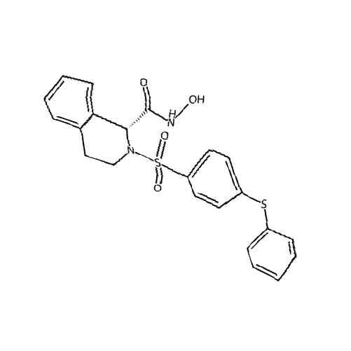 O=C(NO)[C@H]1c2ccccc2CCN1S(=O)(=O)c1ccc(Sc2ccccc2)cc1